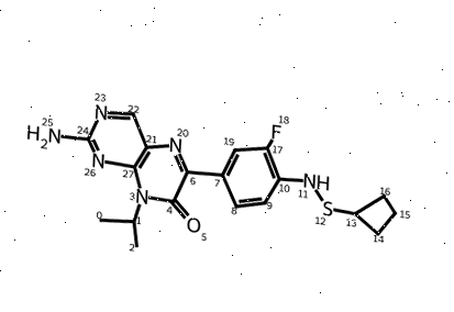 CC(C)n1c(=O)c(-c2ccc(NSC3CCC3)c(F)c2)nc2cnc(N)nc21